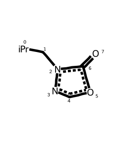 CC(C)Cn1ncoc1=O